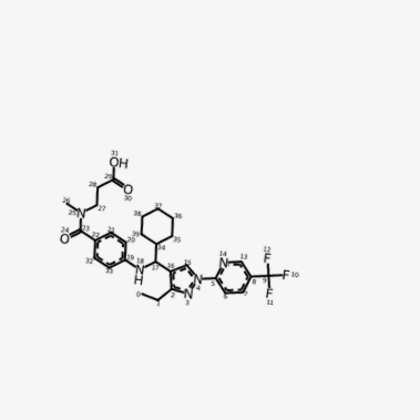 CCc1nn(-c2ccc(C(F)(F)F)cn2)cc1C(Nc1ccc(C(=O)N(C)CCC(=O)O)cc1)C1CCCCC1